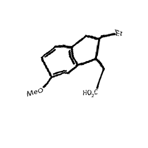 CCC1Cc2ccc(OC)cc2C1CC(=O)O